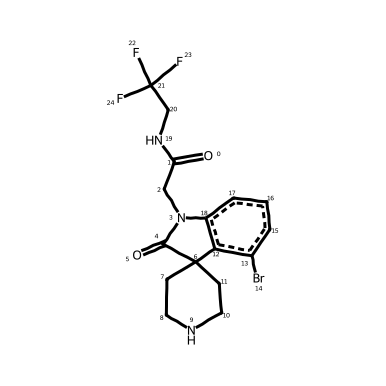 O=C(CN1C(=O)C2(CCNCC2)c2c(Br)cccc21)NCC(F)(F)F